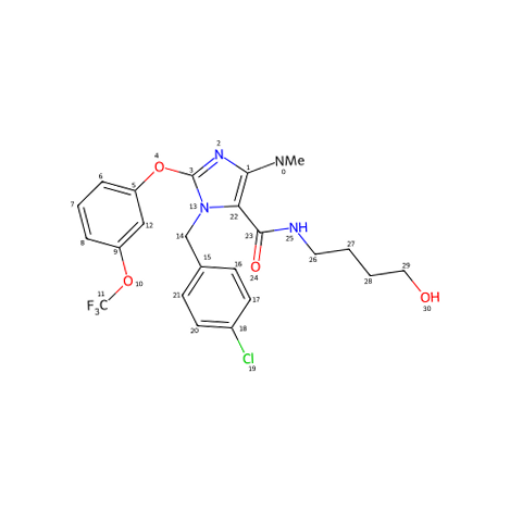 CNc1nc(Oc2cccc(OC(F)(F)F)c2)n(Cc2ccc(Cl)cc2)c1C(=O)NCCCCO